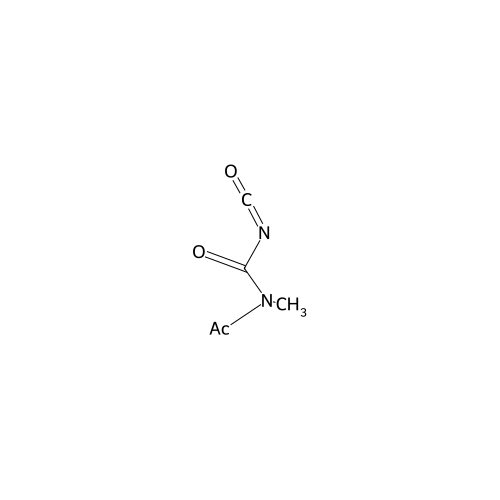 CC(=O)N(C)C(=O)N=C=O